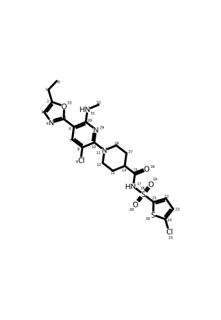 CCc1cnc(-c2cc(Cl)c(N3CCC(C(=O)NS(=O)(=O)c4ccc(Cl)s4)CC3)nc2NC)o1